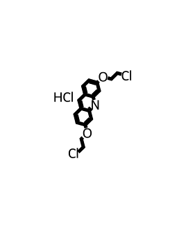 Cl.ClCCOc1ccc2cc3ccc(OCCCl)cc3nc2c1